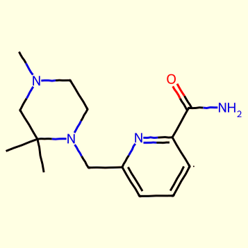 CN1CCN(Cc2cc[c]c(C(N)=O)n2)C(C)(C)C1